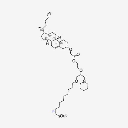 CCCCCCCC/C=C\CCCCCCCCOCC(CN1CCCCC1)OCCOC(=O)COC1CC[C@@]2(C)C(=CCC3[C@@H]2CC[C@]2(C)C([C@@H](C)CCCC(C)C)CC[C@@H]32)C1